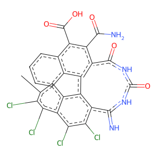 Cc1c(Cl)c(Cl)c2c(Cl)c(Cl)c3c(=N)[nH]c(=O)[nH]c(=O)c4c(C(N)=O)c(C(=O)O)c5cccc6c1c2c3c4c56